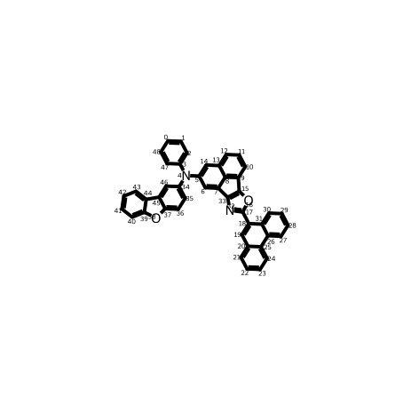 c1ccc(N(c2cc3c4c(cccc4c2)-c2oc(-c4cc5ccccc5c5ccccc45)nc2-3)c2ccc3oc4ccccc4c3c2)cc1